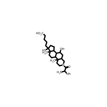 CCCC(N)C(=O)N1CCC2(C)C(CC(O)C3C2CCC2(C)C3CCC2(S)CCCCC(=O)O)C1